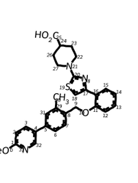 COc1ccc(-c2ccc(COc3ccccc3-c3csc(N4CCC(C(=O)O)CC4)n3)c(C)c2)cn1